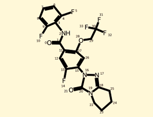 O=C(Nc1c(F)cccc1F)c1cc(F)c(-n2nc3n(c2=O)CCCC3)cc1OCC(F)(F)F